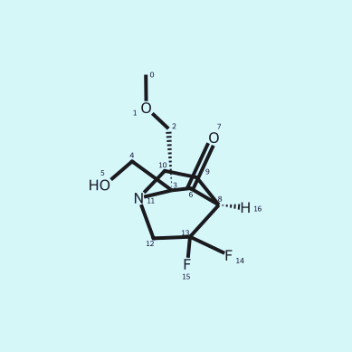 COC[C@]1(CO)C(=O)[C@H]2CCN1CC2(F)F